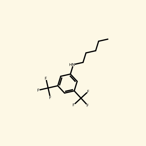 CCCCCNc1cc(C(F)(F)F)cc(C(F)(F)F)c1